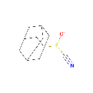 N#C[S+]([O-])C12CC3CC(CC(C3)C1)C2